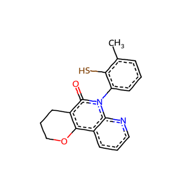 Cc1cccc(-n2c(=O)c3c(c4cccnc42)OCCC3)c1S